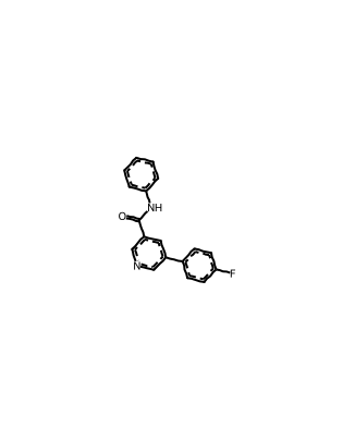 O=C(Nc1ccccc1)c1cncc(-c2ccc(F)cc2)c1